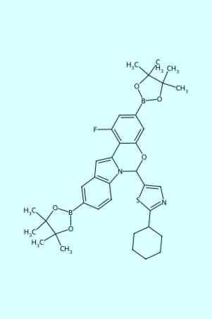 CC1(C)OB(c2cc(F)c3c(c2)OC(c2cnc(C4CCCCC4)s2)n2c-3cc3cc(B4OC(C)(C)C(C)(C)O4)ccc32)OC1(C)C